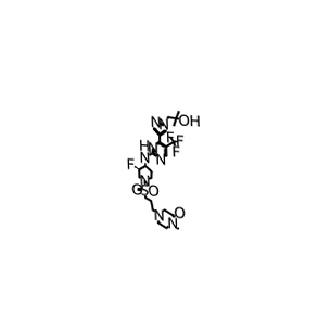 CN1CCN(CCCS(=O)(=O)N2CC[C@H](Nc3ncc(C(F)(F)F)c(-c4cnn(CC(C)(C)O)c4)n3)[C@H](F)C2)CC1=O